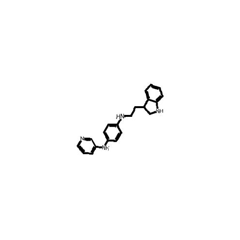 c1cncc(Nc2ccc(NCCC3CNc4ccccc43)cc2)c1